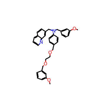 COc1cccc(COCCOCc2ccc(N(Cc3cccc(OC)c3)Cc3ccc4cccnc4c3)cc2)c1